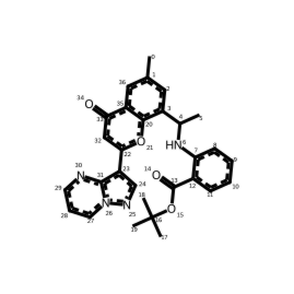 Cc1cc(C(C)Nc2ccccc2C(=O)OC(C)(C)C)c2oc(-c3cnn4cccnc34)cc(=O)c2c1